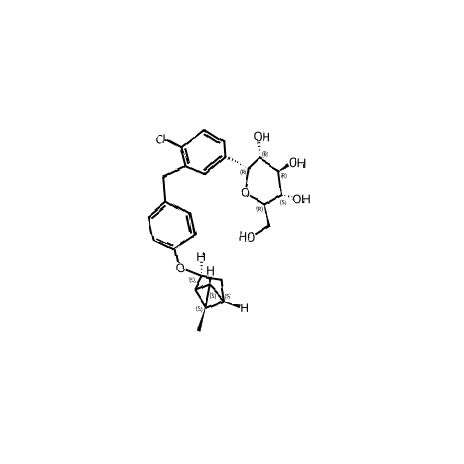 C[C@]12C3[C@@H](Oc4ccc(Cc5cc([C@H]6O[C@H](CO)[C@@H](O)[C@H](O)[C@H]6O)ccc5Cl)cc4)C[C@H]1[C@@H]32